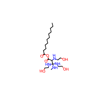 CCCCCCCCCCCC(=O)OC(=O)C(NCCO)C(NC)(NCCO)NCCO